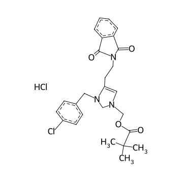 CC(C)(C)C(=O)OCN1C=C(CCN2C(=O)c3ccccc3C2=O)N(Cc2ccc(Cl)cc2)C1.Cl